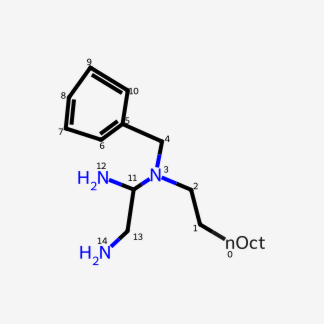 CCCCCCCCCCN(Cc1ccccc1)C(N)CN